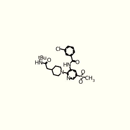 CC(C)(C)NC(=O)CC1CCN(c2ncc(S(C)(=O)=O)cc2NC(=O)c2cccc(Cl)c2)CC1